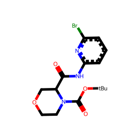 CC(C)(C)OC(=O)N1CCOCC1C(=O)Nc1cccc(Br)n1